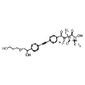 CNC(=O)[C@@](C)(C(=O)NO)N(C)C(=O)c1ccc(C#Cc2ccc(C(O)COCCCO)cc2)cc1